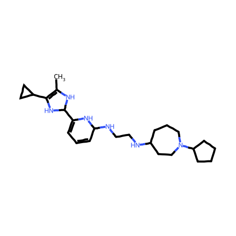 CC1=C(C2CC2)NC(C2=CC=CC(NCCNC3CCCN(C4CCCC4)CC3)N2)N1